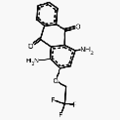 Nc1cc(OCC(F)(F)F)c(N)c2c1C(=O)c1ccccc1C2=O